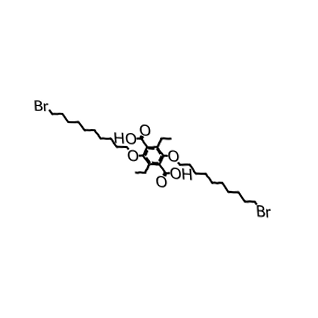 CCc1c(OCCCCCCCCCCBr)c(C(=O)O)c(CC)c(OCCCCCCCCCCBr)c1C(=O)O